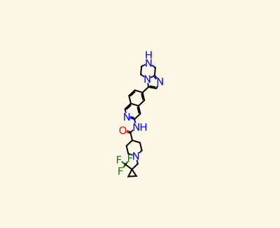 O=C(Nc1cc2cc(-c3cnc4n3CCNC4)ccc2cn1)C1CCN(CC2(C(F)(F)F)CC2)CC1